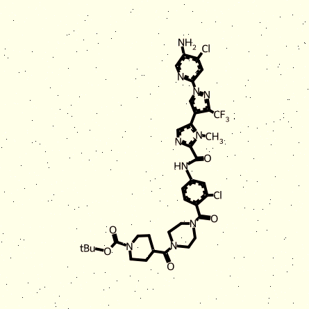 Cn1c(-c2cn(-c3cc(Cl)c(N)cn3)nc2C(F)(F)F)cnc1C(=O)Nc1ccc(C(=O)N2CCN(C(=O)C3CCN(C(=O)OC(C)(C)C)CC3)CC2)c(Cl)c1